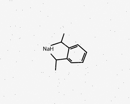 CC(C)c1ccccc1C(C)C.[NaH]